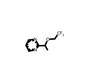 CC(OCC(F)(F)F)c1ncccn1